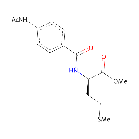 COC(=O)[C@@H](CCSC)NC(=O)c1ccc(NC(C)=O)cc1